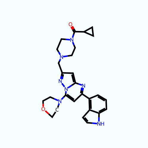 O=C(C1CC1)N1CCN(Cc2cc3nc(-c4cccc5[nH]ccc45)cc(N4CCOCC4)n3n2)CC1